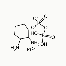 NC1CCCCC1N.O=P([O-])([O-])OP(=O)(O)O.[Pt+2]